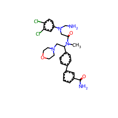 CN(C(=O)CN(CN)c1ccc(Cl)c(Cl)c1)C(CN1CCOCC1)c1ccc(-c2cccc(C(N)=O)c2)cc1